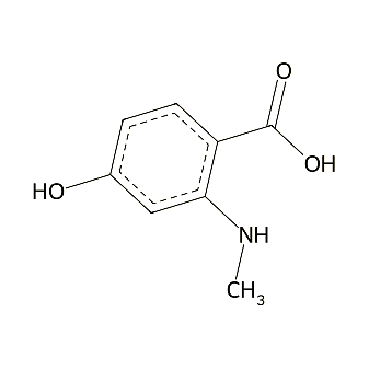 CNc1cc(O)ccc1C(=O)O